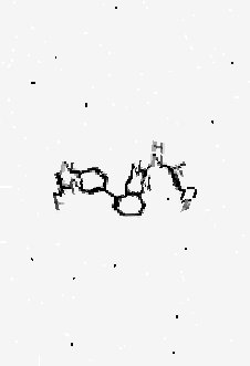 COC[C@H](C)Nc1ncc2c(n1)CCCC=C2c1ccc2ncc(F)n2c1